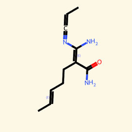 CC=C=N/C(N)=C(\CC/C=C/C)C(N)=O